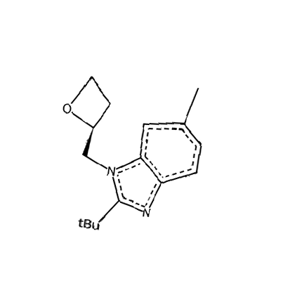 Cc1ccc2nc(C(C)(C)C)n(C[C@@H]3CCO3)c2c1